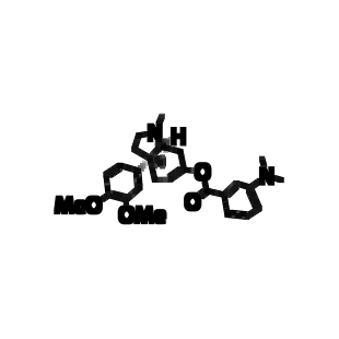 COc1ccc([C@@]23CC=C(OC(=O)c4cccc(N(C)C)c4)C[C@@H]2N(C)CC3)cc1OC